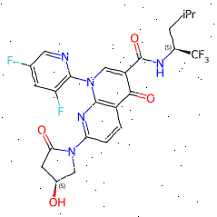 CC(C)C[C@H](NC(=O)c1cn(-c2ncc(F)cc2F)c2nc(N3C[C@@H](O)CC3=O)ccc2c1=O)C(F)(F)F